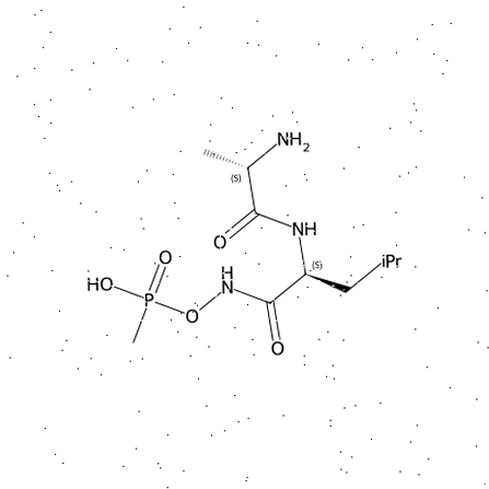 CC(C)C[C@H](NC(=O)[C@H](C)N)C(=O)NOP(C)(=O)O